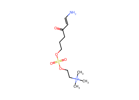 C[N+](C)(C)CCOS(=O)(=O)OCCCC(=O)C=CN